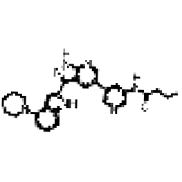 CCCC(=O)Nc1cncc(-c2cnc3[nH]nc(-c4cc5c(N6CCCCC6)cccc5[nH]4)c3c2)c1